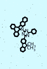 CC1(C)c2ccccc2-c2ccc(-c3nc(-c4ccccc4)nc(-n4c5cc6ccccc6cc5c5c6ccccc6c6ccccc6c54)n3)cc21